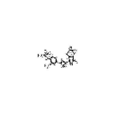 Cn1nc(-c2noc(-c3ccc(OS(=O)(=O)C(F)(F)F)c(C(F)(F)F)c3)n2)c2c1CC(C)(C)CC2